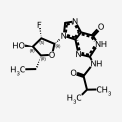 CC[C@H]1O[C@@H](n2cnc3c(=O)[nH]c(NC(=O)C(C)C)nc32)[C@@H](F)[C@@H]1O